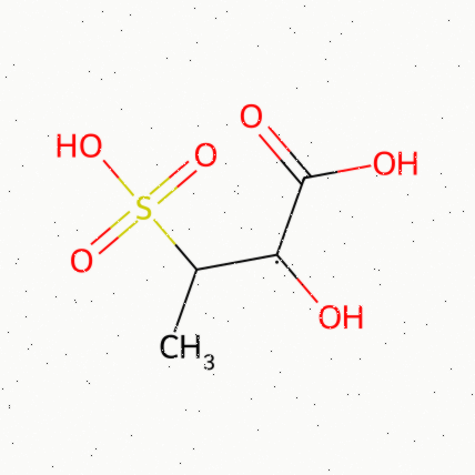 CC([C](O)C(=O)O)S(=O)(=O)O